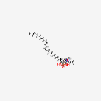 CCCCCCC/C=C\CC/C=C\CCCCCCCCCCC(O)(C[N+](C)(C)C)P(=O)(O)O